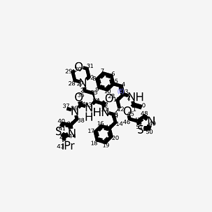 C=C(N/C(=C/c1ccccc1)CC[C@H](Cc1ccccc1)NC(=O)[C@H](CCN1CCOCC1)NC(=O)N(C)Cc1csc(C(C)C)n1)OCc1cncs1